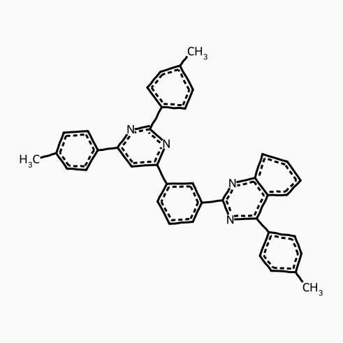 Cc1ccc(-c2cc(-c3cccc(-c4nc(-c5ccc(C)cc5)c5ccccc5n4)c3)nc(-c3ccc(C)cc3)n2)cc1